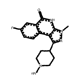 CCCN1CCC(c2nn(C)c3[nH]c(=O)c4cc(F)ccc4c23)CC1